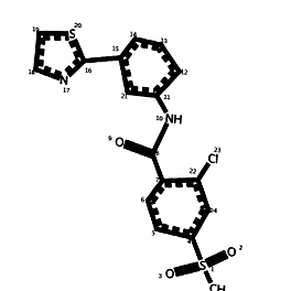 CS(=O)(=O)c1ccc(C(=O)Nc2cccc(-c3nccs3)c2)c(Cl)c1